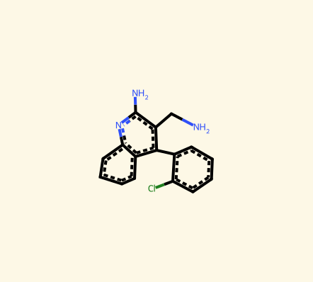 NCc1c(N)nc2ccccc2c1-c1ccccc1Cl